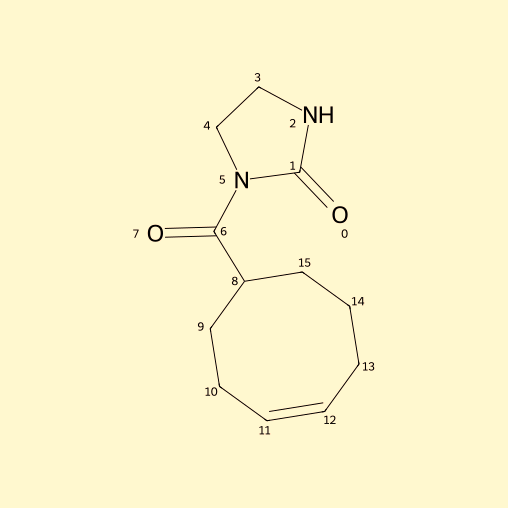 O=C1NCCN1C(=O)C1CCC=CCCC1